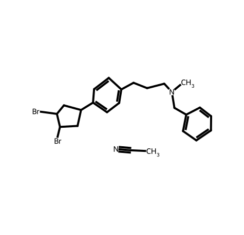 CC#N.CN(CCCc1ccc(C2CC(Br)C(Br)C2)cc1)Cc1ccccc1